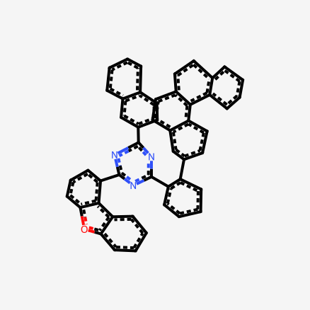 c1ccc(-c2nc(-c3ccc4ccccc4c3)nc(-c3cccc4oc5ccccc5c34)n2)c(-c2ccc3c(ccc4ccc5ccccc5c43)c2)c1